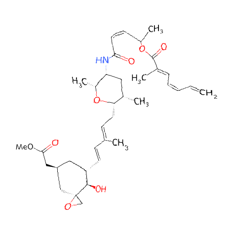 C=C/C=C\C=C(/C)C(=O)OC(C)/C=C\C(=O)N[C@@H]1C[C@H](C)[C@H](C/C=C(C)/C=C/[C@H]2C[C@H](CC(=O)OC)C[C@@]3(CO3)[C@@H]2O)O[C@@H]1C